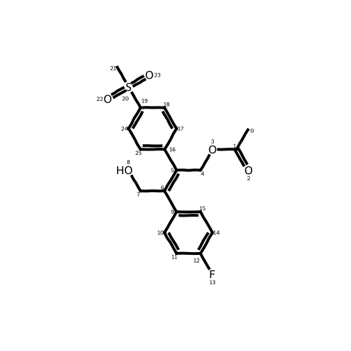 CC(=O)OCC(=C(CO)c1ccc(F)cc1)c1ccc(S(C)(=O)=O)cc1